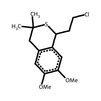 COc1cc2c(cc1OC)C(CCCl)SC(C)(C)C2